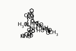 CN(CCCCNC(=O)C1(C2CC(c3cccc(C4CSC(NC(=O)CNC(=O)C5CCN(S(C)(=O)=O)C5)N4)c3)CCN2C2CCCCC2)CC1)CCCNc1cccc2c1C(=O)N(C1CCC(=O)NC1=O)C2=O